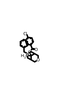 CC1(OC(=O)c2ccc(Cl)cc2)C2COCC1CN(Cc1ccccc1)C2